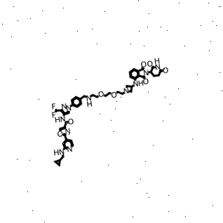 O=C1CCC(N2C(=O)c3cccc(NC4CN(CCOCCOCCNCc5ccc(-n6cc(NC(=O)c7coc(-c8ccnc(NCC9CC9)c8)n7)c(C(F)F)n6)cc5)C4)c3C2=O)C(=O)N1